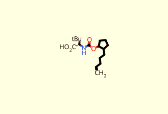 C=CCCCC1CCCC1OC(=O)N[C@H](C(=O)O)C(C)(C)C